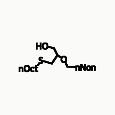 CCCCCCCCCCOC(CO)CSCCCCCCCC